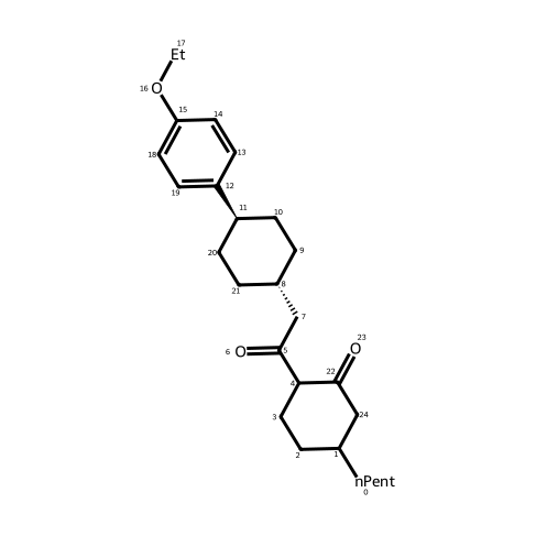 CCCCCC1CCC(C(=O)C[C@H]2CC[C@H](c3ccc(OCC)cc3)CC2)C(=O)C1